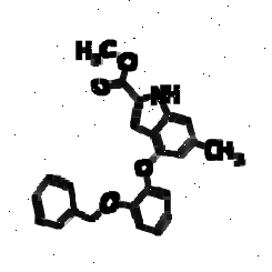 COC(=O)c1cc2c(Oc3ccccc3OCc3ccccc3)cc(C)cc2[nH]1